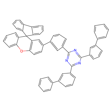 c1ccc(-c2cccc(-c3nc(-c4cccc(-c5ccccc5)c4)nc(-c4cccc(-c5ccc6c(c5)C5(c7ccccc7O6)c6ccccc6-c6ccccc65)c4)n3)c2)cc1